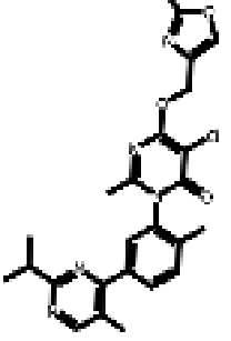 Cc1nc(COc2nc(C)n(-c3cc(-c4nc(C(C)C)ncc4C)ccc3C)c(=O)c2Cl)co1